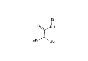 CCCC(C(=O)NCC)C(C)(C)C